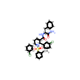 Cc1ccccc1S(=O)(=O)N1C(c2cccc(Cl)c2)C(C(=O)N[C@@H](Cc2ccccc2)C(N)=O)=CC[C@H]1c1cccc(Cl)c1